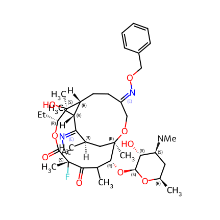 CC[C@H]1OC(=O)[C@@](C)(F)C(=O)C(C)[C@@H](O[C@@H]2O[C@H](C)C[C@H](NC)[C@H]2O)[C@@]2(C)C[C@@H](C)/C(=N\C(C)=O)[C@H](C)[C@@H](CC/C(=N\OCc3ccccc3)CO2)[C@]1(C)O